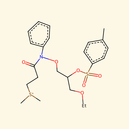 CCOCC(CON(C(=O)CC[S+](C)C)c1ccccc1)OS(=O)(=O)c1ccc(C)cc1